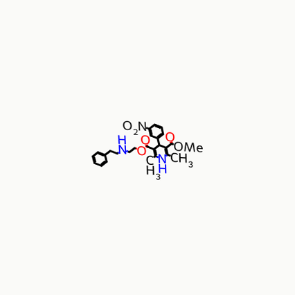 COC(=O)C1=C(C)NC(C)=C(C(=O)OCCNCCc2ccccc2)C1c1cccc([N+](=O)[O-])c1